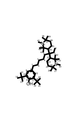 CCC(CCCCCc1cc(C(C)(C)C)c(O)c(C(C)(C)C)c1)(C1CCC(C)(C)N(C)C1(C)C)C1CCC(C)(C)N(C)C1(C)C